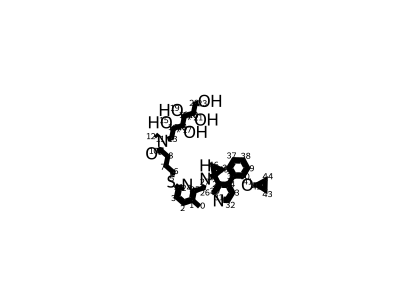 Cc1ccc(SCCCC(=O)N(C)C[C@H](O)[C@@H](O)[C@H](O)[C@H](O)CO)nc1CNC1(c2cnccc2-c2ccccc2OC2CC2)CC1